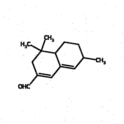 CC1C=C2C=C(C=O)CC(C)(C)C2CC1